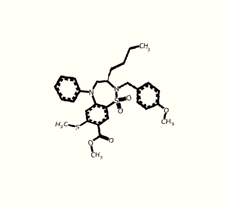 CCCC[C@@H]1CN(c2ccccc2)c2cc(SC)c(C(=O)OC)cc2S(=O)(=O)N1Cc1ccc(OC)cc1